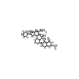 Nc1nc(-c2cccc(-n3ccc4cc(C5CC5)cc(F)c4c3=O)c2CO)c2cc(-c3ccncc3)[nH]c2n1